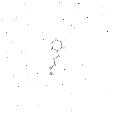 CC[N]CCCC1CCCCC1